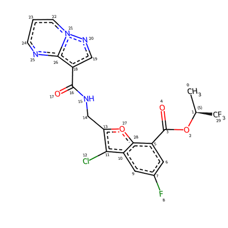 C[C@H](OC(=O)c1cc(F)cc2c(Cl)c(CNC(=O)c3cnn4cccnc34)oc12)C(F)(F)F